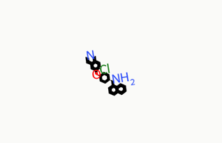 NC(c1cccc2ccccc12)[C@H]1CC[C@H](Oc2cc3ccncc3cc2Cl)CC1